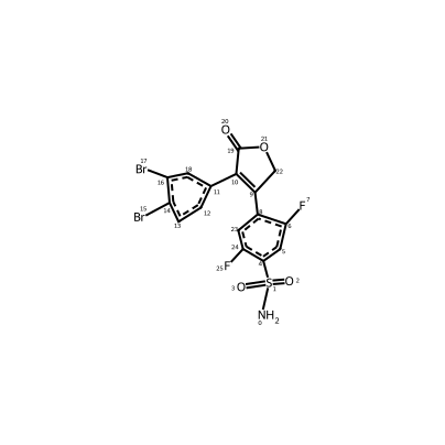 NS(=O)(=O)c1cc(F)c(C2=C(c3ccc(Br)c(Br)c3)C(=O)OC2)cc1F